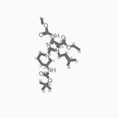 CCOC(=O)Nc1nc(N2CCCC(NC(=O)OC(C)(C)C)C2)n(CC=C(C)C)c1C(=O)OCC